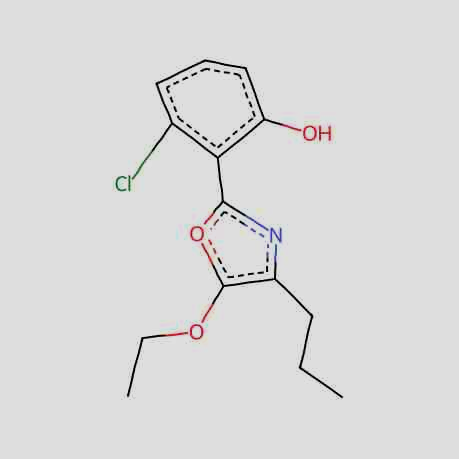 CCCc1nc(-c2c(O)cccc2Cl)oc1OCC